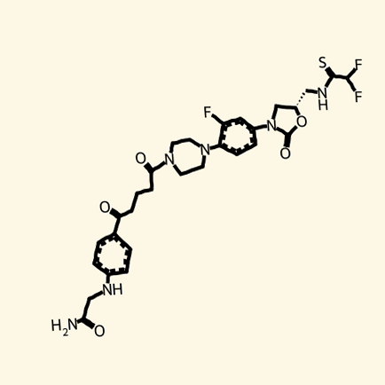 NC(=O)CNc1ccc(C(=O)CCCC(=O)N2CCN(c3ccc(N4C[C@H](CNC(=S)C(F)F)OC4=O)cc3F)CC2)cc1